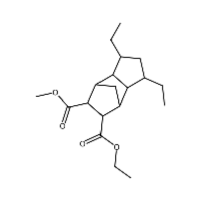 CCOC(=O)C1C2CC(C1C(=O)OC)C1C(CC)CC(CC)C21